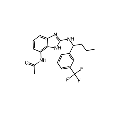 CCCC(Nc1nc2cccc(NC(C)=O)c2[nH]1)c1cccc(C(F)(F)F)c1